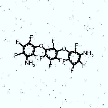 Nc1c(F)c(F)c(F)c(Oc2c(F)c(F)c(F)c(Oc3c(F)c(N)c(F)c(F)c3F)c2F)c1F